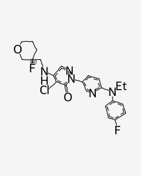 CCN(c1ccc(F)cc1)c1ccc(-n2ncc(NC[C@@]3(F)CCCOC3)c(Cl)c2=O)cn1